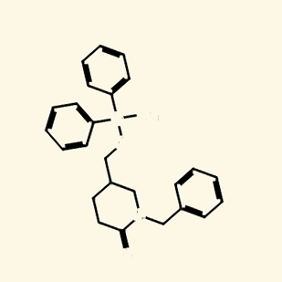 CC(C)(C)[Si](OCC1CCC(=O)N(Cc2ccccc2)C1)(c1ccccc1)c1ccccc1